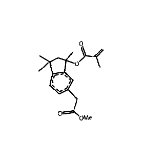 C=C(C)C(=O)OC1(C)CC(C)(C)c2ccc(CC(=O)OC)cc21